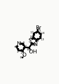 COc1ccncc1C(O)c1nc2ccc(Br)cc2s1